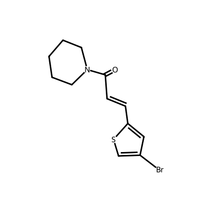 O=C(C=Cc1cc(Br)cs1)N1CCCCC1